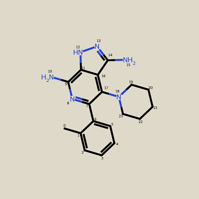 Cc1ccccc1-c1nc(N)c2[nH]nc(N)c2c1N1CCCCC1